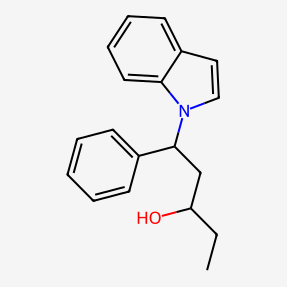 CCC(O)CC(c1ccccc1)n1ccc2ccccc21